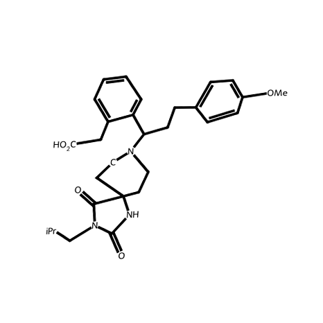 COc1ccc(CCC(c2ccccc2CC(=O)O)N2CCC3(CC2)NC(=O)N(CC(C)C)C3=O)cc1